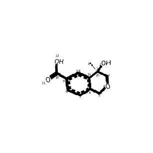 C[C@]1(O)COCc2ccc(C(=O)O)cc21